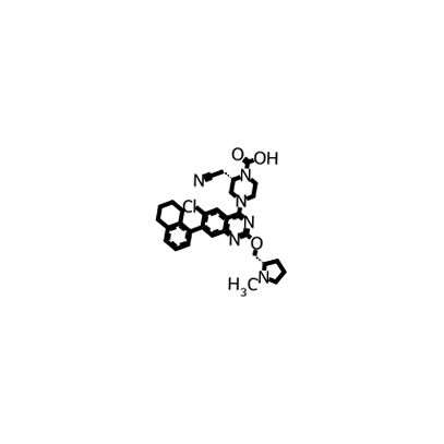 CN1CCC[C@H]1COc1nc(N2CCN(C(=O)O)[C@@H](CC#N)C2)c2cc(Cl)c(-c3cccc4c3CCCC4)cc2n1